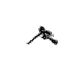 CCCCCCCCCCCCCCCCCCN1C(C(C(=O)Nc2cc(C)ccc2OCCCOc2ccc3c(c2)OCO3)n2cnc(C(=O)O)c2)=Nc2ccccc2S1(=O)=O